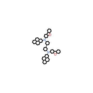 c1cc(-c2cccc(N(c3cc4ccc5cccc6ccc(c3)c4c56)c3ccc4c(c3)oc3ccccc34)c2)cc(N(c2cc3ccc4cccc5ccc(c2)c3c45)c2ccc3c(c2)oc2ccccc23)c1